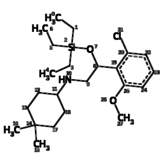 CC[Si](CC)(CC)OC(CNC1CCC(C)(C)CC1)c1c(Cl)cccc1OC